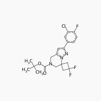 CC(C)(C)OC(=O)N1Cc2cc(-c3ccc(F)c(Cl)c3)nn2C2(C1)CC(F)(F)C2